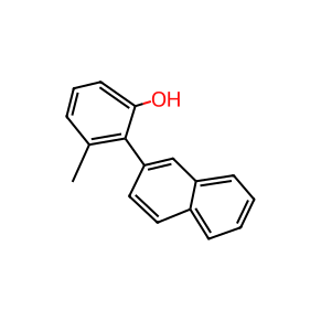 Cc1cccc(O)c1-c1ccc2ccccc2c1